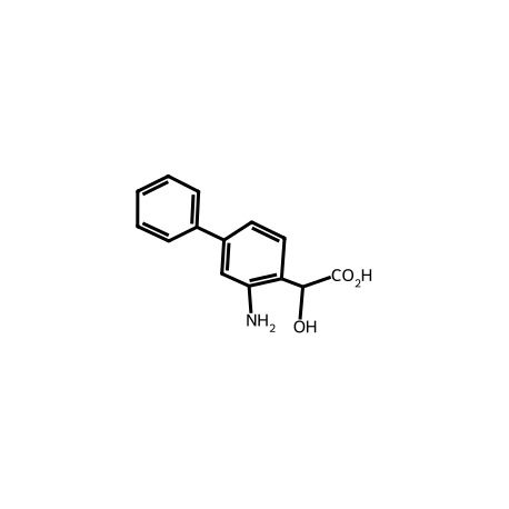 Nc1cc(-c2ccccc2)ccc1C(O)C(=O)O